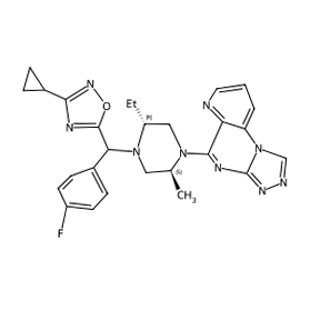 CC[C@@H]1CN(c2nc3nncn3c3cccnc23)[C@@H](C)CN1C(c1ccc(F)cc1)c1nc(C2CC2)no1